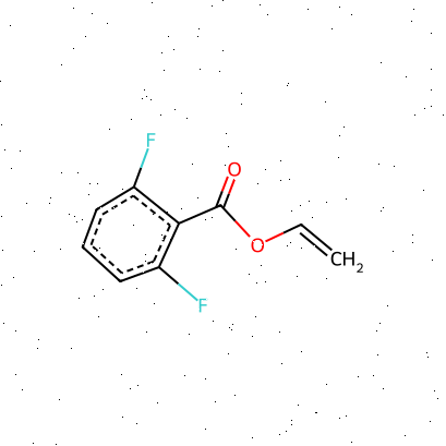 C=COC(=O)c1c(F)cccc1F